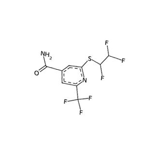 NC(=O)c1cc(SC(F)C(F)F)nc(C(F)(F)F)c1